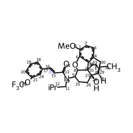 COc1ccc2c3c1OC1C(N(CC(C)C)C(=O)/C=C/c4cccc(OC(F)(F)F)c4)CC[C@@]4(O)[C@@H](C2)N(C)CC[C@]314